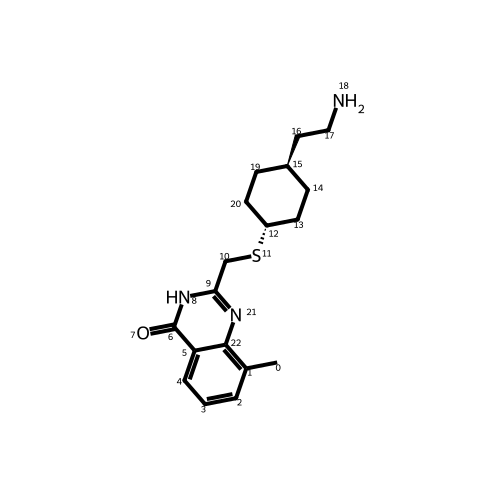 Cc1cccc2c(=O)[nH]c(CS[C@H]3CC[C@H](CCN)CC3)nc12